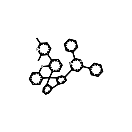 Cc1ccc(-c2cccc3c2Sc2ccccc2C32c3ccccc3-c3ccc(-c4cc(-c5ccccc5)nc(-c5ccccc5)n4)cc32)c(C)n1